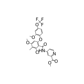 COC(=O)c1cc(NC(=O)c2c(Oc3ccc(OC(F)(F)F)cc3OC)cc(OC)c(C)c2Cl)ccn1